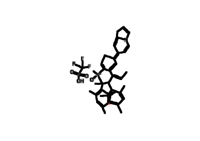 CC=C1C2=CC(=C3C=CN4C=CCC4=C3)CC=C2[N+](C)([O-])C(C)(c2c(C)cc(C)cc2C)C1c1c(C)cc(C)cc1C.O=S(=O)(O)C(F)(F)F